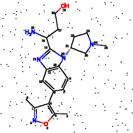 Cc1noc(C)c1-c1ccc2c(c1)nc(C(N)CCO)n2[C@@H]1CCN(C)C1